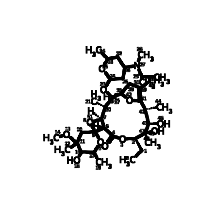 CC[C@H]1OC(=O)[C@H]2[C@@H](OC23CC(C)(OC)C(O)C(C)O3)[C@H](C)[C@@H](OC2CC(N(C)C(C)C)CC(C)O2)[C@@]2(C)CC(C)=C(O2)[C@H](C)[C@@H](O)[C@]1(C)O